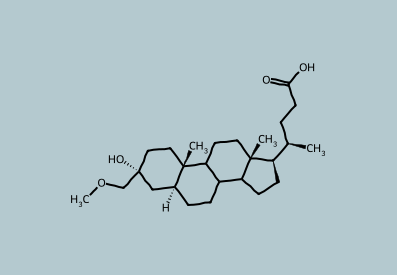 COC[C@@]1(O)CC[C@]2(C)C3CC[C@@]4(C)C(CC[C@@H]4[C@H](C)CCC(=O)O)C3CC[C@H]2C1